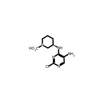 Nc1cnc(Cl)nc1N[C@@H]1CCCN(C(=O)O)C1